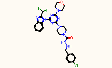 O=C(NNCc1ccc(Cl)cc1)N1CCN(c2nc(N3CCOCC3)nc(-n3c(C(F)F)nc4ccccc43)n2)CC1